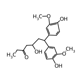 CCC(=O)CC(O)CC(c1ccc(O)c(OC)c1)c1ccc(O)c(OC)c1